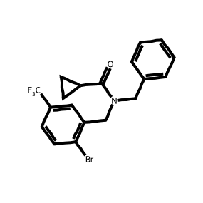 O=C(C1CC1)N(Cc1ccccc1)Cc1cc(C(F)(F)F)ccc1Br